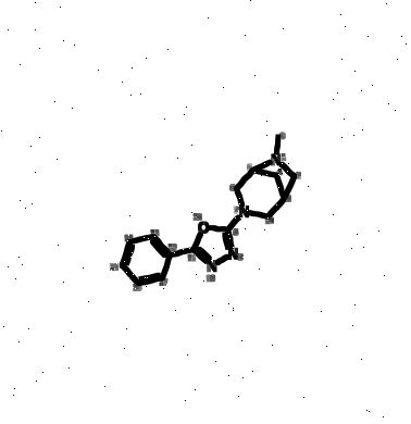 CN1CC2CC1CN(c1nnc(-c3ccccc3)o1)C2